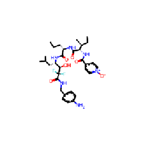 CCC[C@H](NC(=O)[C@@H](NC(=O)c1cc[n+]([O-])cc1)[C@@H](C)CC)C(=O)N[C@@H](CC(C)C)[C@@H](O)C(F)(F)C(=O)NCc1ccc(N)cc1